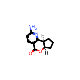 Nc1ccc2c(n1)[C@H]1CCC[C@H]1OC2=O